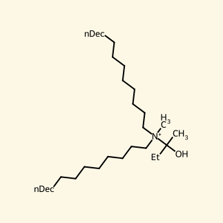 CCCCCCCCCCCCCCCCCC[N+](C)(CCCCCCCCCCCCCCCCCC)C(C)(O)CC